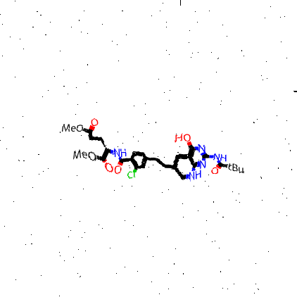 COC(=O)CC[C@@H](NC(=O)c1ccc(CCC2CNc3nc(NC(=O)C(C)(C)C)nc(O)c3C2)cc1Cl)C(=O)OC